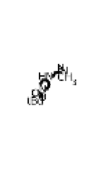 CC1(CCNC2CCN(C(=O)OC(C)(C)C)CC2)N=N1